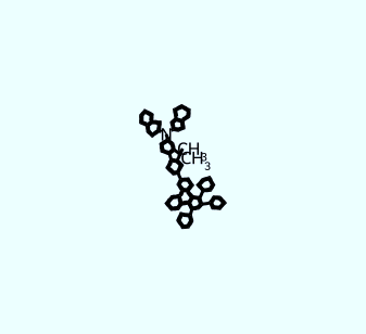 CC1(C)c2cc(-c3ccc4c(c3)c3ccccc3c3c(-c5ccccc5)cc(-c5ccccc5)c(-c5ccccc5)c43)ccc2-c2ccc(N(c3ccc4ccccc4c3)c3ccc4ccccc4c3)cc21